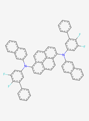 Fc1cc(N(c2ccc3ccccc3c2)c2ccc3ccc4c(N(c5cc(F)c(F)c(-c6ccccc6)c5)c5ccc6ccccc6c5)ccc5ccc2c3c54)cc(-c2ccccc2)c1F